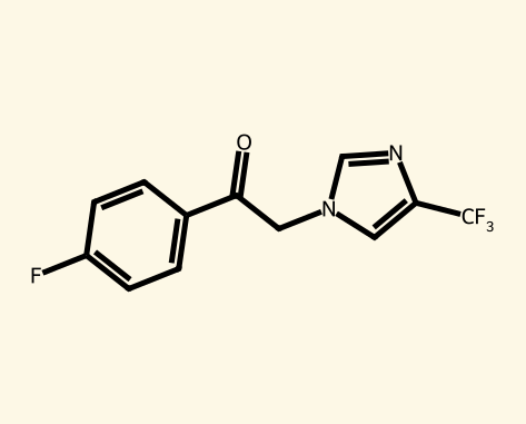 O=C(Cn1cnc(C(F)(F)F)c1)c1ccc(F)cc1